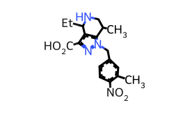 CCC1NCC(C)c2c1c(C(=O)O)nn2Cc1ccc([N+](=O)[O-])c(C)c1